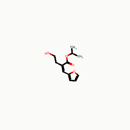 CC(C)OC(=O)C(=Cc1ccco1)CCO